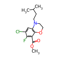 COC(=O)c1c(F)c(Cl)cc2c1OCCN2CCC(C)C